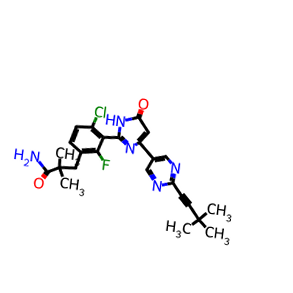 CC(C)(C)C#Cc1ncc(-c2cc(=O)[nH]c(-c3c(Cl)ccc(CC(C)(C)C(N)=O)c3F)n2)cn1